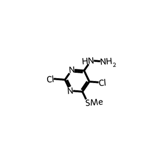 CSc1nc(Cl)nc(NN)c1Cl